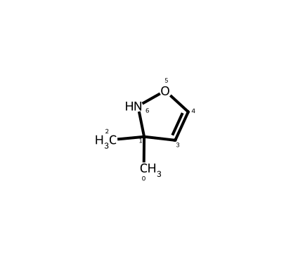 CC1(C)C=CON1